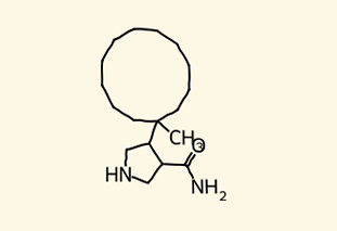 CC1(C2CNCC2C(N)=O)CCCCCCCCCCC1